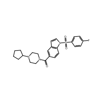 O=C(c1ccc2c(ccn2S(=O)(=O)c2ccc(F)cc2)c1)N1CCN(C2CCCC2)CC1